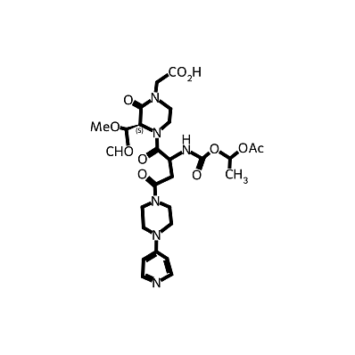 COC(C=O)[C@H]1C(=O)N(CC(=O)O)CCN1C(=O)C(CC(=O)N1CCN(c2ccncc2)CC1)NC(=O)OC(C)OC(C)=O